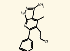 Cc1c(CCCl)c(-c2ccccc2)nc2[nH]nc(N)c12